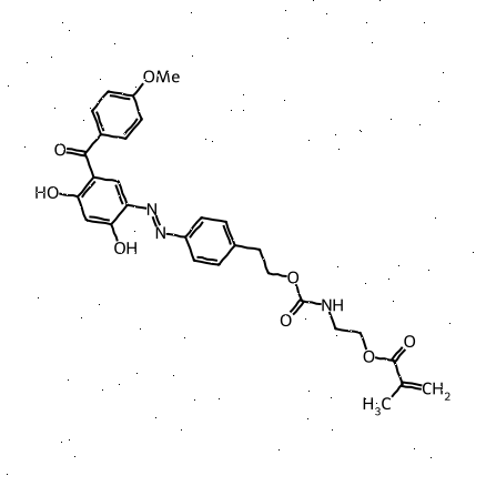 C=C(C)C(=O)OCCNC(=O)OCCc1ccc(N=Nc2cc(C(=O)c3ccc(OC)cc3)c(O)cc2O)cc1